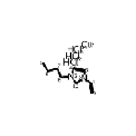 C=CN1C=CN(CCCC)C1.Cl.Cl.Cl.[Cu]